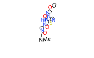 CNC/C=C/C(=O)N1CCCC(NC(=O)c2sc3nccc4c3c2NC(=O)N4c2ccc(Oc3ccccc3)cn2)C1